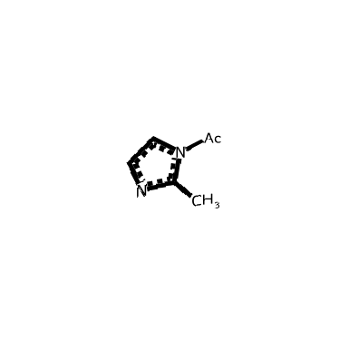 CC(=O)n1ccnc1C